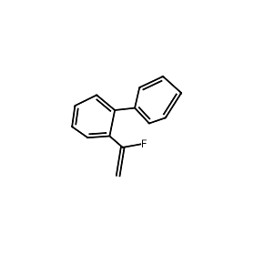 C=C(F)c1ccccc1-c1ccccc1